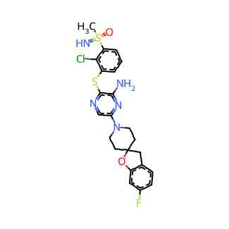 CS(=N)(=O)c1cccc(Sc2ncc(N3CCC4(CC3)Cc3ccc(F)cc3O4)nc2N)c1Cl